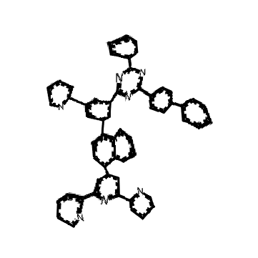 c1ccc(-c2ccc(-c3nc(-c4ccccc4)nc(-c4cc(-c5ccccn5)cc(-c5ccc(-c6cc(-c7ccccn7)nc(-c7ccccn7)c6)c6ccccc56)c4)n3)cc2)cc1